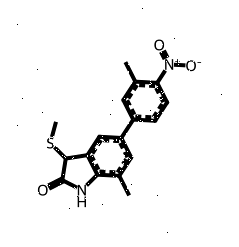 CSC1C(=O)Nc2c(C)cc(-c3ccc([N+](=O)[O-])c(C)c3)cc21